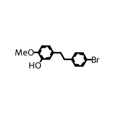 COc1ccc(CCc2ccc(Br)cc2)cc1O